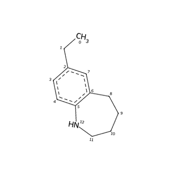 CCc1ccc2c(c1)CCCCN2